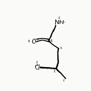 CC(Cl)CC([NH])=O